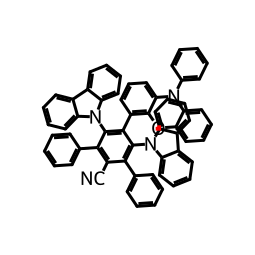 N#Cc1c(-c2ccccc2)c(-n2c3ccccc3c3ccccc32)c(-c2cccc3c2Oc2ccccc2N3c2ccccc2)c(-n2c3ccccc3c3ccccc32)c1-c1ccccc1